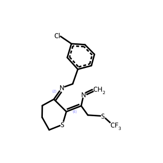 C=N/C(CSC(F)(F)F)=C1/SCCC/C1=N/Cc1cccc(Cl)c1